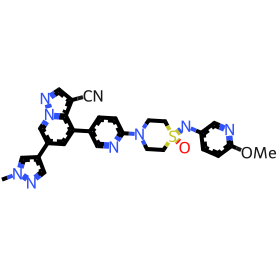 COc1ccc(N=S2(=O)CCN(c3ccc(-c4cc(-c5cnn(C)c5)cn5ncc(C#N)c45)cn3)CC2)cn1